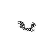 Cc1c(CN2CCC(Nc3ncnc4sc(CC(F)(F)F)cc34)CC2)ccc2c1cc(C#N)n2CC(C)N1C[C@@H](C)N(S(C)(=O)=O)[C@H](C)C1